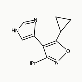 CC(C)c1noc(C2CC2)c1-c1c[nH]cn1